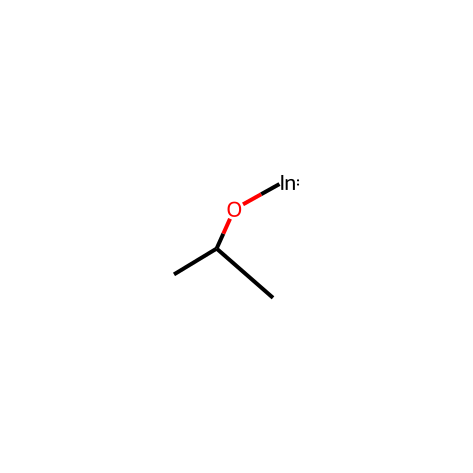 CC(C)[O][In]